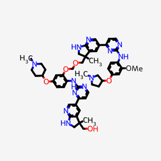 COc1cc(OC2CCN(C)C2)ccc1Nc1nccc(-c2cnc3c(c2)C(C)(COCOc2cc(OC4CCN(C)CC4)ccc2Nc2nccc(-c4cnc5c(c4)C(C)(CO)CN5)n2)CN3)n1